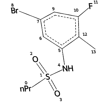 CCCS(=O)(=O)Nc1cc(Br)cc(F)c1C